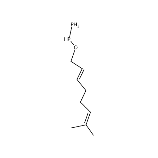 CC(C)=CCC/C=C/COPP